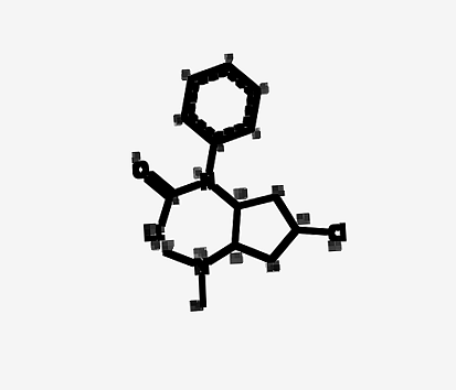 CCC(=O)N(c1ccccc1)C1CC(Cl)CC1N(C)C